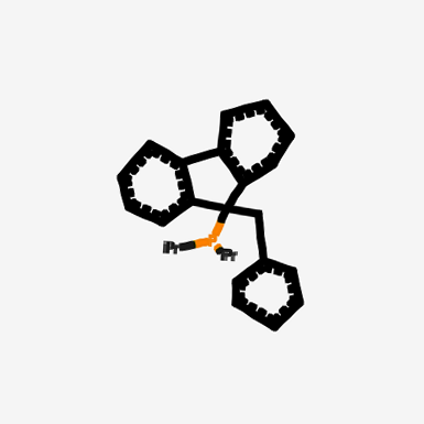 CC(C)P(C(C)C)C1(Cc2ccccc2)c2ccccc2-c2ccccc21